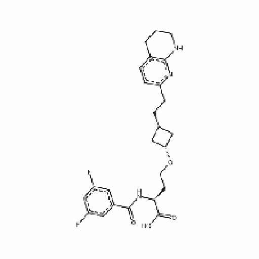 O=C(N[C@@H](CCO[C@H]1C[C@H](CCc2ccc3c(n2)NCCC3)C1)C(=O)O)c1cc(F)cc(F)c1